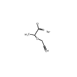 C#CCOC(C)C(=O)[O-].[Na+]